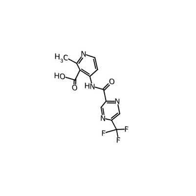 Cc1nccc(NC(=O)c2cnc(C(F)(F)F)cn2)c1C(=O)O